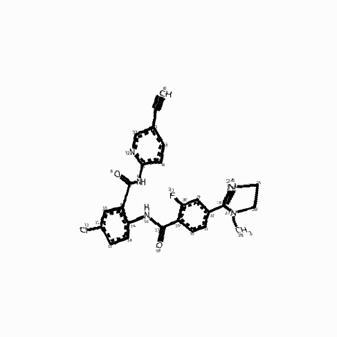 C#Cc1ccc(NC(=O)c2cc(Cl)ccc2NC(=O)c2ccc(C3=NCCN3C)cc2F)nc1